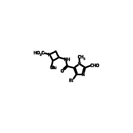 CCc1nc(C=O)n(C)c1C(=O)NC1CN(C(=O)O)C1C(C)(C)C